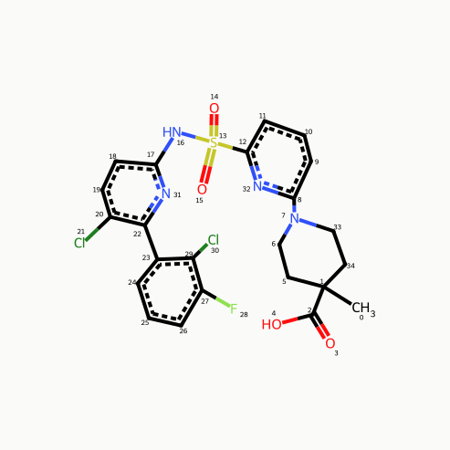 CC1(C(=O)O)CCN(c2cccc(S(=O)(=O)Nc3ccc(Cl)c(-c4cccc(F)c4Cl)n3)n2)CC1